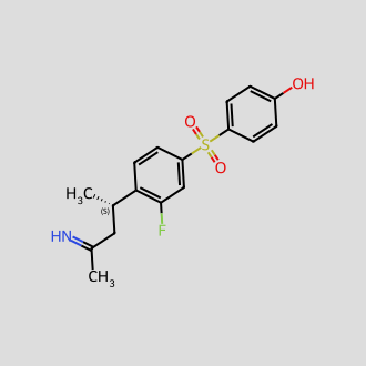 CC(=N)C[C@H](C)c1ccc(S(=O)(=O)c2ccc(O)cc2)cc1F